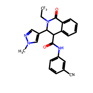 Cn1cc(C2C(C(=O)Nc3cccc(C#N)c3)c3ccccc3C(=O)N2CC(F)(F)F)cn1